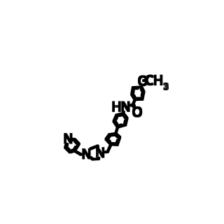 COc1ccc(C(=O)Nc2ccc(-c3ccc(CN4CCN(Cc5ccncc5)CC4)cc3)cc2)cc1